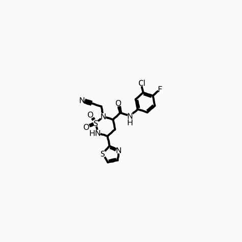 N#CCN1C(C(=O)Nc2ccc(F)c(Cl)c2)CC(c2nccs2)NS1(=O)=O